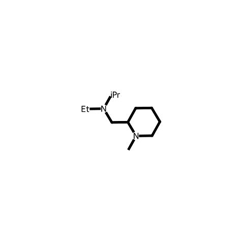 CCN(CC1CCCCN1C)C(C)C